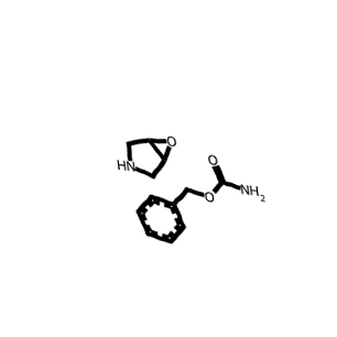 C1NCC2OC12.NC(=O)OCc1ccccc1